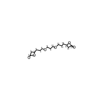 O=C1CC(CCCOCCCOCCCC2CC(=O)O2)O1